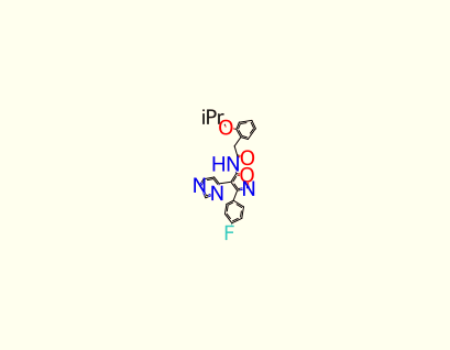 CC(C)Oc1ccccc1CC(=O)Nc1onc(-c2ccc(F)cc2)c1-c1ccncn1